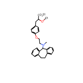 CCOC(=O)C(Cc1ccc(OCCN(C)C2c3ccccc3CCc3ccccc32)cc1)OCC